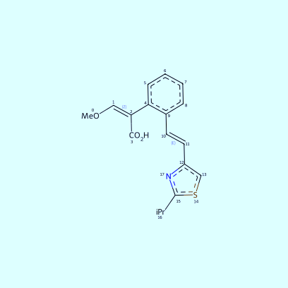 CO/C=C(\C(=O)O)c1ccccc1/C=C/c1csc(C(C)C)n1